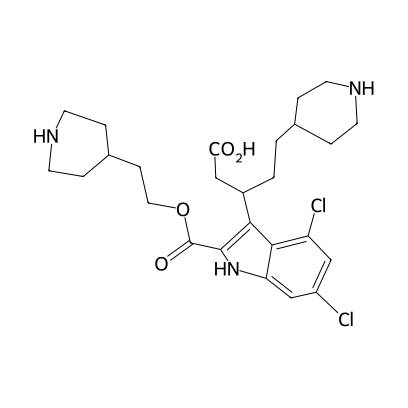 O=C(O)CC(CCC1CCNCC1)c1c(C(=O)OCCC2CCNCC2)[nH]c2cc(Cl)cc(Cl)c12